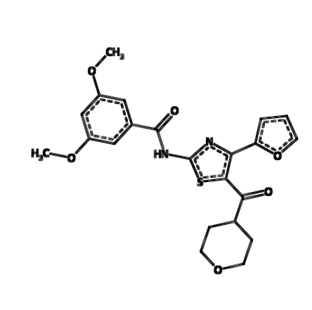 COc1cc(OC)cc(C(=O)Nc2nc(-c3ccco3)c(C(=O)C3CCOCC3)s2)c1